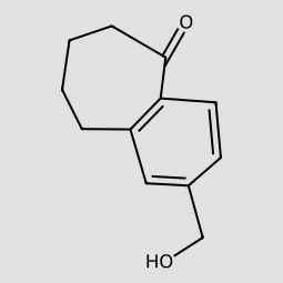 O=C1CCCCc2cc(CO)ccc21